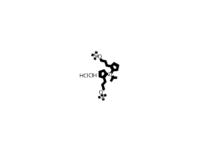 C[C](C)=[Zr]([C]1=C(CCCO[Si](C)(C)C)C=CC1)[C]1=C(CCCO[Si](C)(C)C)C=CC1.Cl.Cl